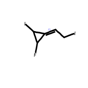 FC1/C(=C\CI)C1I